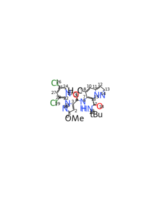 COc1cc(C(=O)Nc2c(C)cc3ccnn3c2C(=O)NC(C)(C)C)n(-c2ncc(Cl)cc2Cl)n1